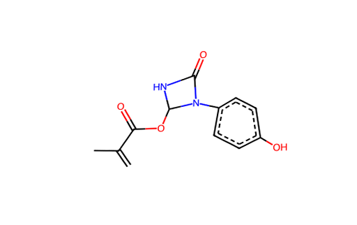 C=C(C)C(=O)OC1NC(=O)N1c1ccc(O)cc1